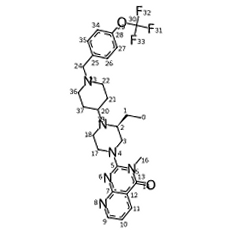 CC[C@H]1CN(c2nc3ncccc3c(=O)n2C)CCN1C1CCN(Cc2ccc(OC(F)(F)F)cc2)CC1